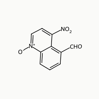 O=Cc1cccc2c1c([N+](=O)[O-])cc[n+]2[O-]